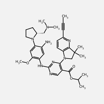 CC#Cc1ccc2c(n1)C(C)(C)CN2c1nc(Nc2cc(N)c(N3CCC[C@@H]3CN(C)C)cc2OC)ncc1C(=O)OC(C)C